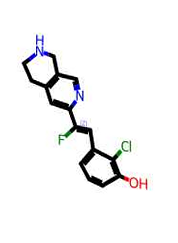 Oc1cccc(/C=C(\F)c2cc3c(cn2)CNCC3)c1Cl